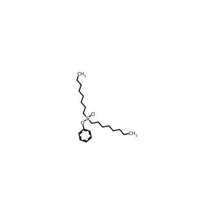 CCCCCCCC[Si](Cl)(CCCCCCCC)Oc1ccccc1